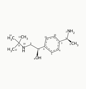 C[C@H](N)c1ccc([C@@H](O)CNC(C)(C)C)cc1